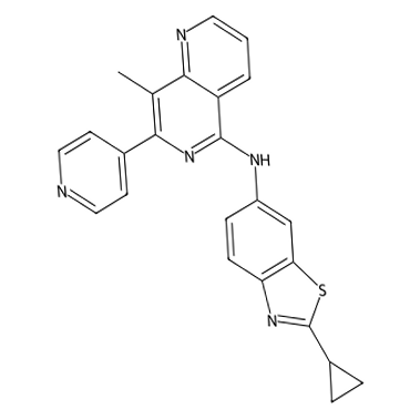 Cc1c(-c2ccncc2)nc(Nc2ccc3nc(C4CC4)sc3c2)c2cccnc12